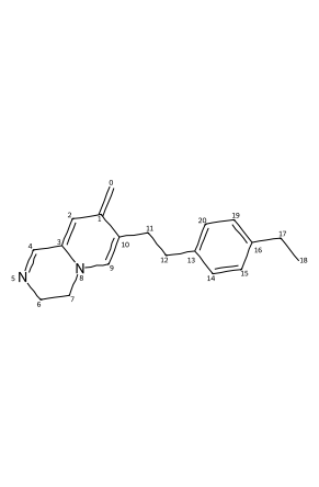 C=C1C=C2C=NCCN2C=C1CCc1ccc(CC)cc1